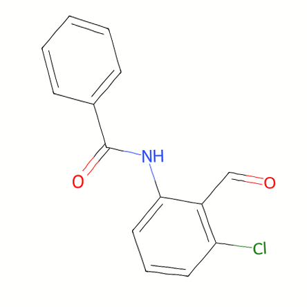 O=Cc1c(Cl)cccc1NC(=O)c1ccccc1